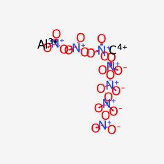 O=[N+]([O-])[O-].O=[N+]([O-])[O-].O=[N+]([O-])[O-].O=[N+]([O-])[O-].O=[N+]([O-])[O-].O=[N+]([O-])[O-].O=[N+]([O-])[O-].[Al+3].[C+4]